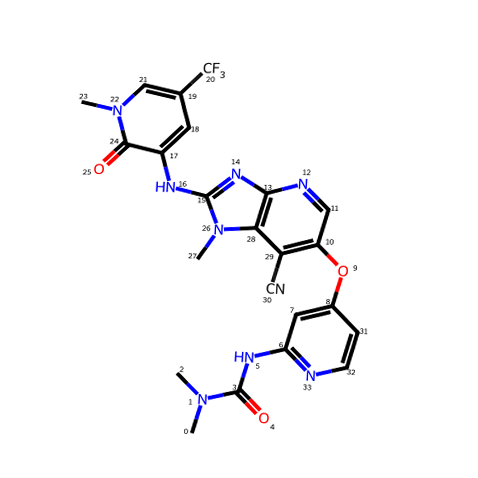 CN(C)C(=O)Nc1cc(Oc2cnc3nc(Nc4cc(C(F)(F)F)cn(C)c4=O)n(C)c3c2C#N)ccn1